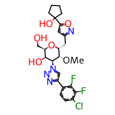 CO[C@@H]1[C@@H](n2cc(-c3ccc(Cl)c(F)c3F)nn2)[C@@H](O)[C@@H](CO)O[C@@H]1Cc1cc(C2(O)CCCC2)on1